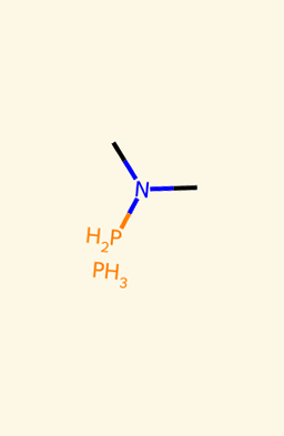 CN(C)P.P